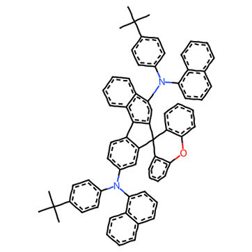 CC(C)(C)c1ccc(N(c2ccc3c(c2)C2(c4ccccc4Oc4ccccc42)c2cc(N(c4ccc(C(C)(C)C)cc4)c4cccc5ccccc45)c4ccccc4c2-3)c2cccc3ccccc23)cc1